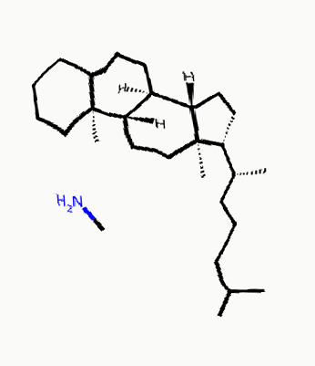 CC(C)CCC[C@@H](C)[C@H]1CC[C@H]2[C@@H]3CCC4CCCC[C@]4(C)[C@H]3CC[C@]12C.CN